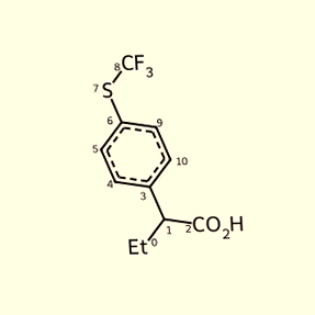 CCC(C(=O)O)c1ccc(SC(F)(F)F)cc1